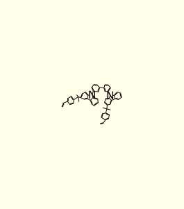 C=Cc1ccc(C(C)(C)c2ccc3c(c2)c2ccccc2n3-c2cccc(-c3cccc(-n4c5ccccc5c5cc(C(C)(C)c6ccc(C=C)cc6)ccc54)c3)c2)cc1